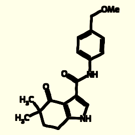 COCc1ccc(NC(=O)c2c[nH]c3c2C(=O)C(C)(C)CC3)cc1